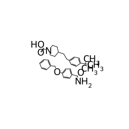 CC(C)(C)c1ccc(CCC2CCN(C(=O)O)CC2)cc1.NC(=O)c1ccc(OCc2ccccc2)cc1